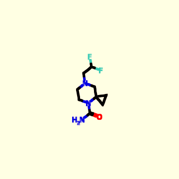 NC(=O)N1CCN(CC(F)F)CC12CC2